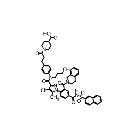 CCCCN(C(=O)c1nn(-c2ccc(C(=O)NS(=O)(=O)c3ccc4ccccc4c3)cc2C(=O)N2CCc3ccccc3C2)c(C)c1Cl)c1ccc(CCC(=O)N2CCC(C(=O)O)CC2)cc1